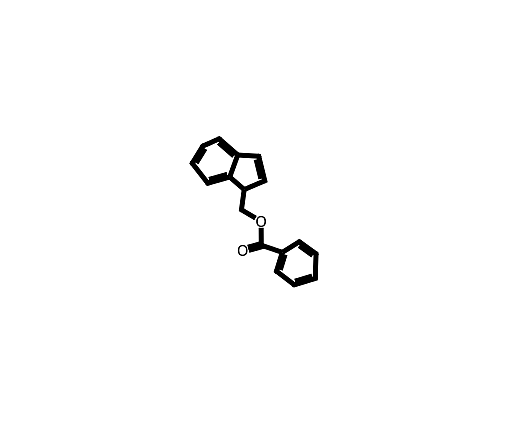 O=C(OCC1C=Cc2ccccc21)c1ccccc1